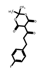 CC1(C)OC(=O)C(C(=O)CCc2ccc(F)cc2)C(=O)O1